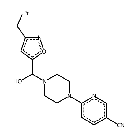 CC(C)Cc1cc(C(O)N2CCN(c3ccc(C#N)cn3)CC2)on1